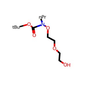 CCCN(OCCOCCO)C(=O)OC(C)(C)C